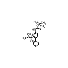 CC(c1nc(NC(=O)OC(C)(C)C)ccc1C1=CCOCC1)N(C)C